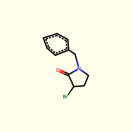 O=C1C(Br)CCN1Cc1ccccc1